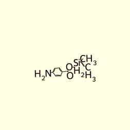 CC=C(C)[SiH2]COC(=O)c1ccc(N)cc1